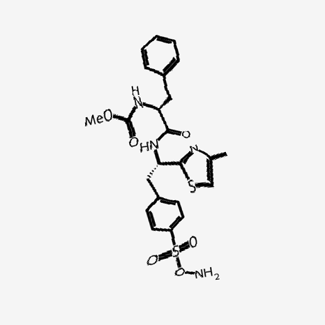 COC(=O)N[C@@H](Cc1ccccc1)C(=O)N[C@@H](Cc1ccc(S(=O)(=O)ON)cc1)c1nc(C)cs1